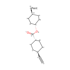 C#C[C@H]1CC[C@H](C(=O)O[C@H]2CC[C@H](CCCCC)CC2)CC1